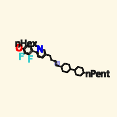 CCCCCCOc1ccc(-c2ccc(CC/C=C/C3CCC(C4CCC(CCCCC)CC4)CC3)cn2)c(F)c1F